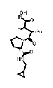 CCCCC(C(=O)N1CCC[C@H]1C(=O)NCC1CC1)C(F)C(=O)NO